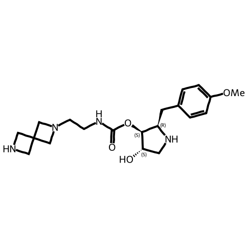 COc1ccc(C[C@H]2NC[C@H](O)[C@H]2OC(=O)NCCN2CC3(CNC3)C2)cc1